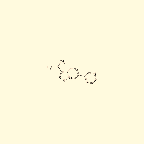 CC(C)c1cnn2cc(-c3cccnc3)ccc12